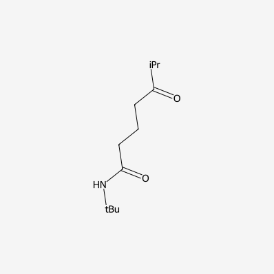 CC(C)C(=O)CCCC(=O)NC(C)(C)C